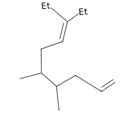 C=CCC(C)C(C)CC=C(CC)CC